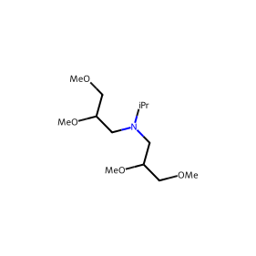 COCC(CN(CC(COC)OC)C(C)C)OC